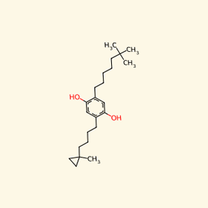 CC(C)(C)CCCCCc1cc(O)c(CCCCC2(C)CC2)cc1O